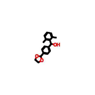 Cc1cccc(C)c1C(O)c1ccc(C2OCCO2)cc1